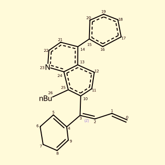 C=C/C=C(/C1=CCCC=C1)c1ccc2c(-c3ccccc3)ccnc2c1CCCC